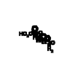 CCC1(CC)c2cc(C(N)=O)ccc2C[C@H](OC)[C@H]1NCCC(C(=O)O)C1CCCCC1